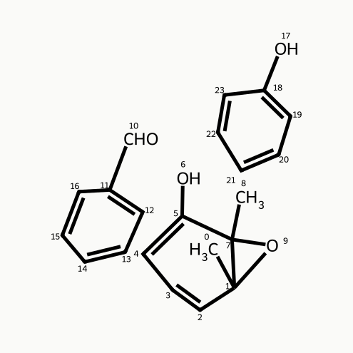 CC12C=CC=C(O)C1(C)O2.O=Cc1ccccc1.Oc1ccccc1